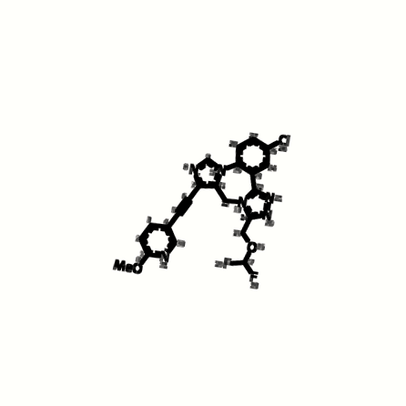 COc1ccc(C#Cc2ncn3c2Cn2c(COC(F)F)nnc2-c2cc(Cl)ccc2-3)cn1